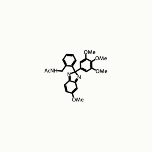 COc1ccc2c(c1)=NC(c1cc(OC)c(OC)c(OC)c1)(c1ccccc1CNC(C)=O)N=2